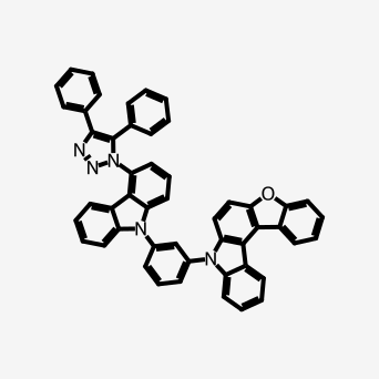 c1ccc(-c2nnn(-c3cccc4c3c3ccccc3n4-c3cccc(-n4c5ccccc5c5c6c(ccc54)oc4ccccc46)c3)c2-c2ccccc2)cc1